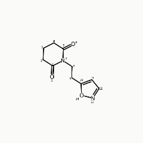 O=C1CCCC(=O)N1CCc1ccno1